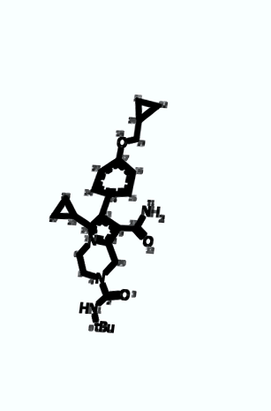 CC(C)(C)NC(=O)N1CCn2c(c(C(N)=O)c(-c3ccc(OCC4CC4)cc3)c2C2CC2)C1